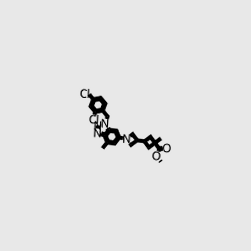 COC(=O)C1(C)CC(C2CN(c3cc(C)c4nnn(Cc5ccc(Cl)cc5Cl)c4c3)C2)C1